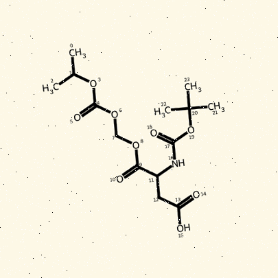 CC(C)OC(=O)OCOC(=O)C(CC(=O)O)NC(=O)OC(C)(C)C